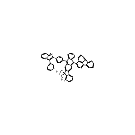 CC1(C)c2ccccc2-c2cc3c(-c4ccc5c6c(cccc46)-c4ccccc4-5)c4ccccc4c(-c4ccc(-c5nc6ccccn6c5-c5ccccc5)cc4)c3cc21